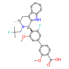 COc1cc(-c2cc(F)c([C@@H]3c4[nH]c5ccccc5c4C[C@@H](C)N3CC(C)(C)F)c(OC)c2)ccc1C(=O)O